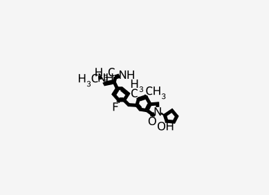 CN/C=C(\C(C)=N)c1ccc(Cc2cc3c(c(C)c2C)CN([C@H]2CCC[C@@H]2O)C3=O)c(F)c1